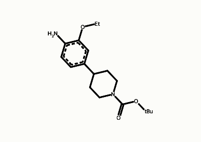 CCOc1cc(C2CCN(C(=O)OC(C)(C)C)CC2)ccc1N